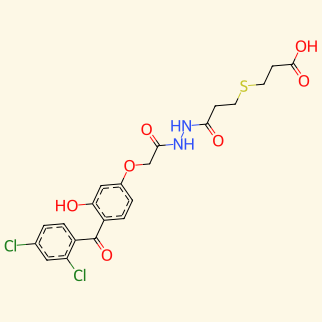 O=C(O)CCSCCC(=O)NNC(=O)COc1ccc(C(=O)c2ccc(Cl)cc2Cl)c(O)c1